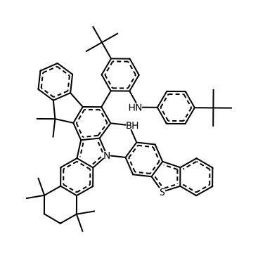 CC(C)(C)c1ccc(Nc2ccc(C(C)(C)C)cc2-c2c3c(c4c5cc6c(cc5n5c4c2Bc2cc4c(cc2-5)sc2ccccc24)C(C)(C)CCC6(C)C)C(C)(C)c2ccccc2-3)cc1